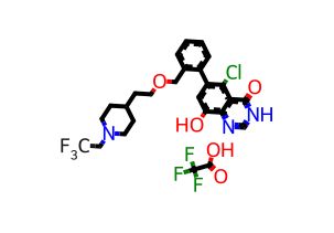 O=C(O)C(F)(F)F.O=c1[nH]cnc2c(O)cc(-c3ccccc3COCCC3CCN(CC(F)(F)F)CC3)c(Cl)c12